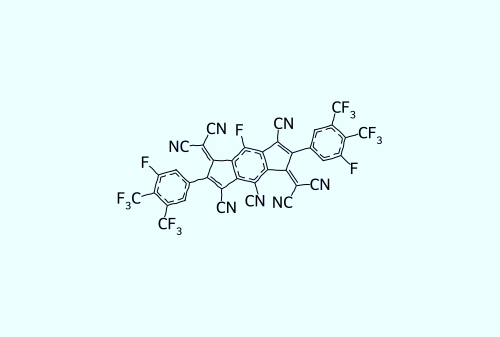 N#CC(C#N)=C1C(c2cc(F)c(C(F)(F)F)c(C(F)(F)F)c2)=C(C#N)c2c(C#N)c3c(c(F)c21)C(C#N)=C(c1cc(F)c(C(F)(F)F)c(C(F)(F)F)c1)C3=C(C#N)C#N